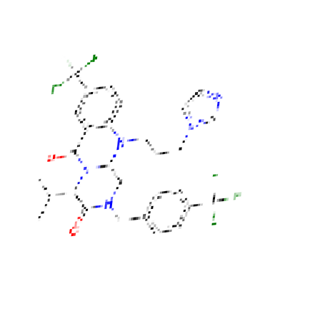 CC(C)[C@H]1C(=O)N(Cc2ccc(C(F)(F)F)cc2)CC2N(CCCn3ccnc3)c3ccc(C(F)(F)F)cc3C(=O)N21